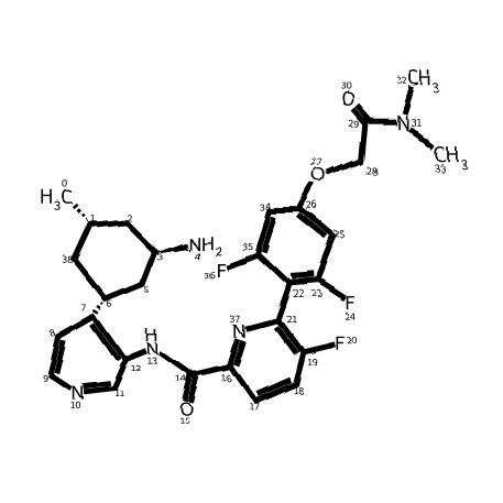 C[C@@H]1C[C@@H](N)C[C@H](c2ccncc2NC(=O)c2ccc(F)c(-c3c(F)cc(OCC(=O)N(C)C)cc3F)n2)C1